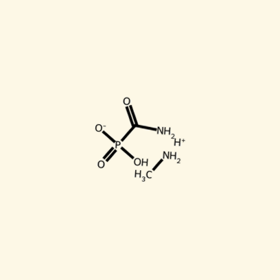 CN.NC(=O)P(=O)([O-])O.[H+]